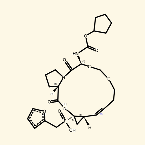 O=C(N[C@H]1CCCCC/C=C\[C@@H]2C[C@@]2(P(=O)(O)Cc2ccco2)NC(=O)[C@@H]2CCCN2C1=O)OC1CCCC1